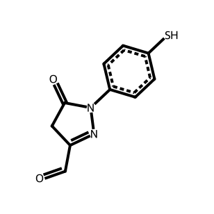 O=CC1=NN(c2ccc(S)cc2)C(=O)C1